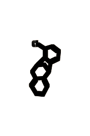 Clc1cccc2c1C1Cc3ccccc3C2C1